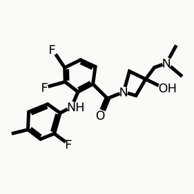 Cc1ccc(Nc2c(C(=O)N3CC(O)(CN(C)C)C3)ccc(F)c2F)c(F)c1